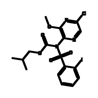 COc1nc(Cl)cnc1N(C(=O)OCC(C)C)S(=O)(=O)c1ccccc1I